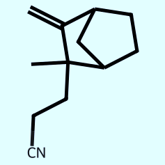 C=C1C2CCC(C2)C1(C)CCC#N